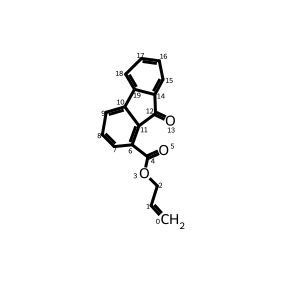 C=CCOC(=O)c1cccc2c1C(=O)c1ccccc1-2